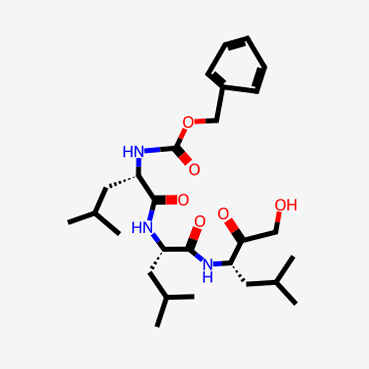 CC(C)C[C@H](NC(=O)[C@H](CC(C)C)NC(=O)[C@H](CC(C)C)NC(=O)OCc1ccccc1)C(=O)CO